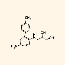 Cc1ccc(-c2cc(N)ccc2NCC(O)CO)cc1